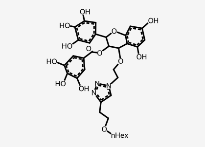 CCCCCCOCCc1cn(CCOC2c3c(O)cc(O)cc3OC(c3cc(O)c(O)c(O)c3)C2OC(=O)c2cc(O)c(O)c(O)c2)nn1